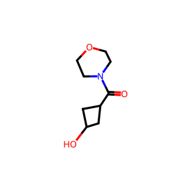 O=C(C1CC(O)C1)N1CCOCC1